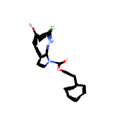 O=C(OCc1ccccc1)n1ccc2cc(Br)c(Cl)nc21